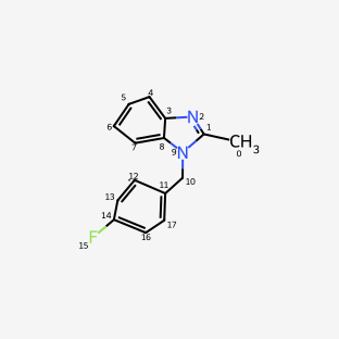 Cc1nc2ccccc2n1Cc1[c]cc(F)cc1